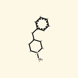 CC(C)(C)N1CCC(Cc2ccccc2)CC1